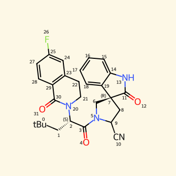 CC(C)(C)C[C@@H](C(=O)N1C[C@]2(CC1C#N)C(=O)Nc1ccccc12)N1CCc2cc(F)ccc2C1=O